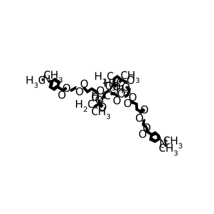 C=C(C)C(=O)OCC(COC(=O)C(=C)CC(C)(C)C(=O)OCC(COC(=O)C(=C)C)OC(=O)CCC(=O)OCCOC(=O)c1ccc(N(C)C)cc1)OC(=O)CCC(=O)OCCOC(=O)c1ccc(N(C)C)cc1